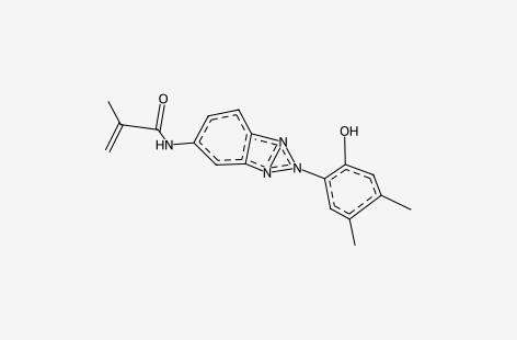 C=C(C)C(=O)Nc1ccc2c(c1)n1n(-c3cc(C)c(C)cc3O)n21